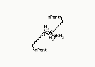 CCCCC/C=C\C/C=C\CCCCCCCCOCC(C)COCC(CCN(C)C)OCCCCCCCC/C=C\C/C=C\CCCCC